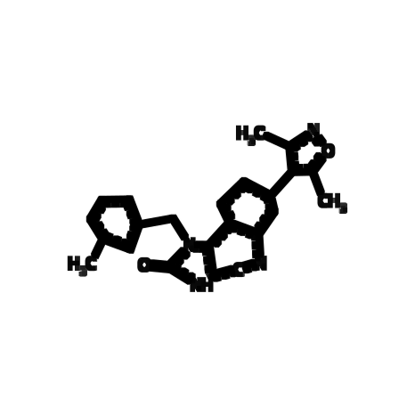 Cc1cccc(Cn2c(=O)[nH]c3cnc4cc(-c5c(C)noc5C)ccc4c32)c1